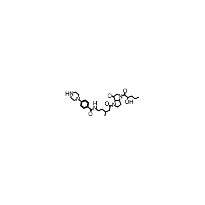 CCCC(O)C(=O)N1CC(=O)C2C1CCN2C(=O)CC(C)CCNC(=O)c1ccc(N2CCNCC2)cc1